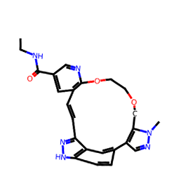 CCNC(=O)c1cnc2c(c1)/C=C/c1n[nH]c3ccc(cc13)-c1cnn(C)c1COCCO2